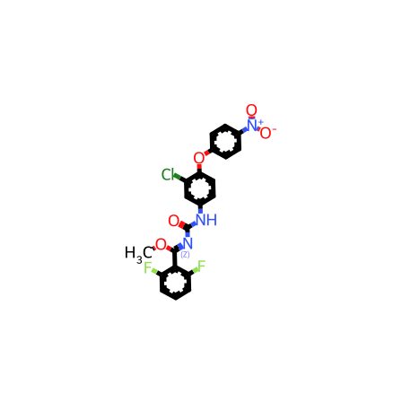 CO/C(=N\C(=O)Nc1ccc(Oc2ccc([N+](=O)[O-])cc2)c(Cl)c1)c1c(F)cccc1F